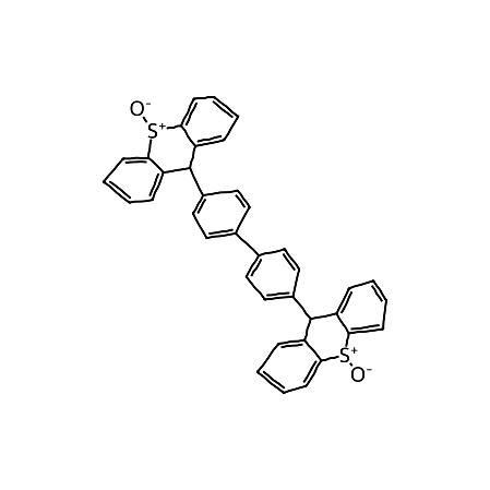 [O-][S+]1c2ccccc2C(c2ccc(-c3ccc(C4c5ccccc5[S+]([O-])c5ccccc54)cc3)cc2)c2ccccc21